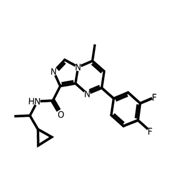 Cc1cc(-c2ccc(F)c(F)c2)nc2c(C(=O)NC(C)C3CC3)ncn12